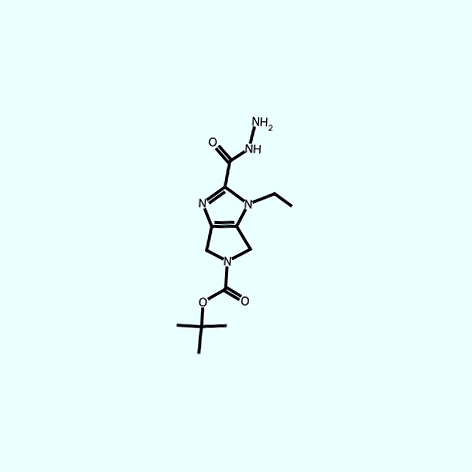 CCn1c(C(=O)NN)nc2c1CN(C(=O)OC(C)(C)C)C2